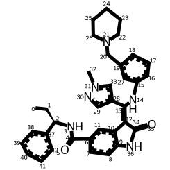 CC[C@@H](NC(=O)c1ccc2c(c1)/C(=C(/Nc1cccc(CN3CCCCC3)c1)c1cnn(C)c1)C(=O)N2)c1ccccc1